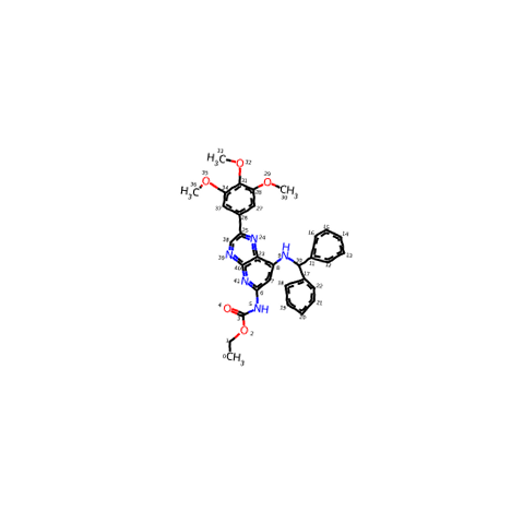 CCOC(=O)Nc1cc(NC(c2ccccc2)c2ccccc2)c2nc(-c3cc(OC)c(OC)c(OC)c3)cnc2n1